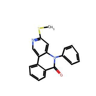 CSc1cc2c(cn1)c1ccccc1c(=O)n2-c1ccccc1